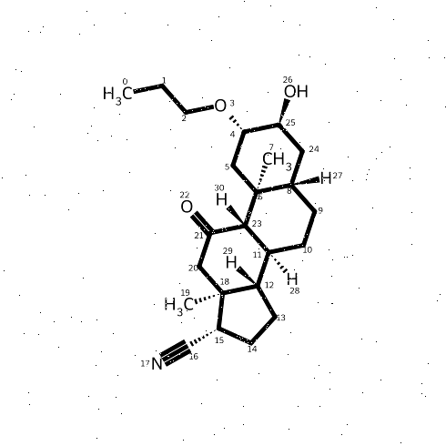 CCCO[C@H]1C[C@@]2(C)[C@@H](CC[C@H]3[C@@H]4CC[C@H](C#N)[C@@]4(C)CC(=O)[C@@H]32)C[C@@H]1O